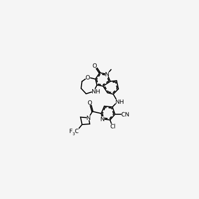 Cn1c(=O)c2c(c3cc(Nc4cc(C(=O)N5CC(C(F)(F)F)C5)nc(Cl)c4C#N)ccc31)NCCCO2